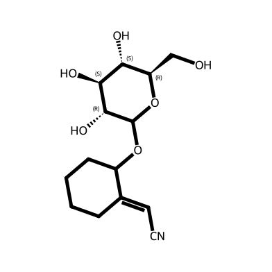 N#CC=C1CCCCC1OC1O[C@H](CO)[C@@H](O)[C@H](O)[C@H]1O